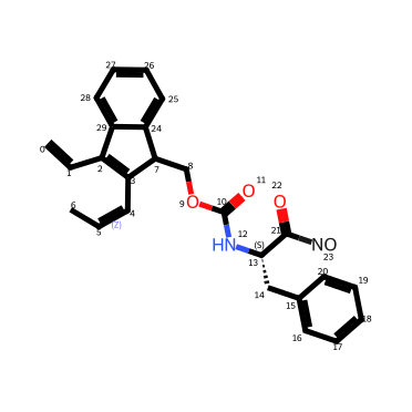 C=CC1=C(/C=C\C)C(COC(=O)N[C@@H](Cc2ccccc2)C(=O)N=O)c2ccccc21